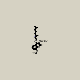 CCCCCCCCCCOc1c(OC/C=C(\C)CCC=C(C)C)c2cccc(OC(C)(C)C)c2oc1=O